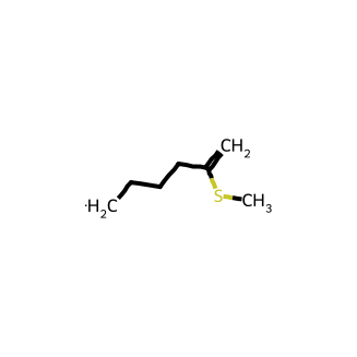 [CH2]CCCC(=C)SC